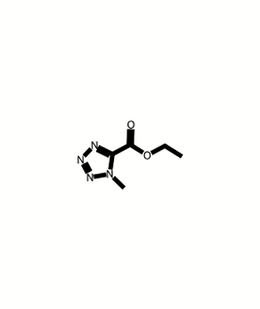 CCOC(=O)c1nnnn1C